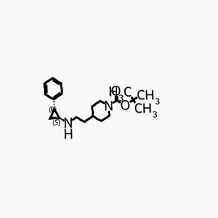 CC(C)(C)OC(=O)N1CCC(CCN[C@H]2C[C@@H]2c2ccccc2)CC1